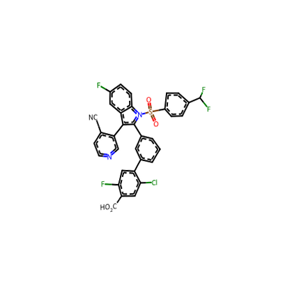 N#Cc1ccncc1-c1c(-c2cccc(-c3cc(F)c(C(=O)O)cc3Cl)c2)n(S(=O)(=O)c2ccc(C(F)F)cc2)c2ccc(F)cc12